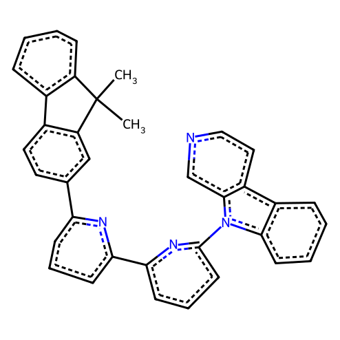 CC1(C)c2ccccc2-c2ccc(-c3cccc(-c4cccc(-n5c6ccccc6c6ccncc65)n4)n3)cc21